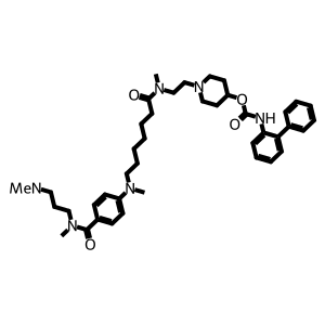 CNCCCN(C)C(=O)c1ccc(N(C)CCCCCCC(=O)N(C)CCN2CCC(OC(=O)Nc3ccccc3-c3ccccc3)CC2)cc1